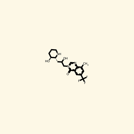 Cc1cc(C(F)(F)F)cc2c(=O)n(CC(O)C[C@H]3NCCC[C@@H]3O)cnc12